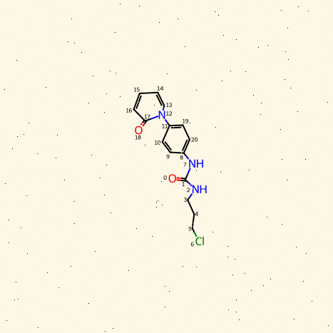 O=C(NCCCCl)Nc1ccc(-n2ccccc2=O)cc1